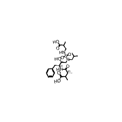 CC(C)CN(C[C@@H](O)[C@H](Cc1ccccc1)NC(=O)[C@H](C)C(C)C(=O)O)S(=O)(=O)NCC(C)C(=O)O